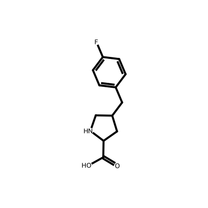 O=C(O)C1CC(Cc2ccc(F)cc2)CN1